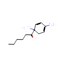 CCCCCC(=O)C1(N)C=CC(N)=CC1